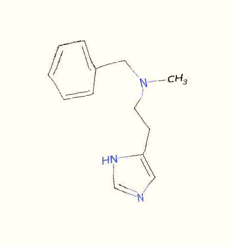 CN(CCc1cnc[nH]1)Cc1ccccc1